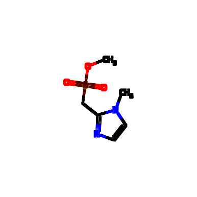 COS(=O)(=O)Cc1nccn1C